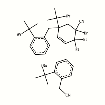 CC(C)(C)C(C)(C)c1ccccc1CC#N.CCC1(CC)C=CC(Cc2ccccc2C(C)(C)C(C)C)(C(C)(C)C(C)C)CC1(Br)C#N